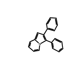 c1ccc(-c2cc3ccccn3c2-c2ccccc2)cc1